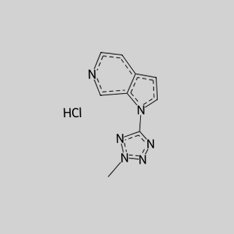 Cl.Cn1nnc(-n2ccc3ccncc32)n1